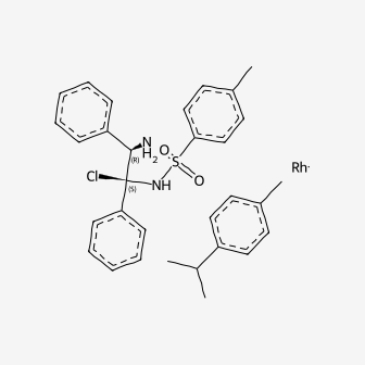 Cc1ccc(C(C)C)cc1.Cc1ccc(S(=O)(=O)N[C@](Cl)(c2ccccc2)[C@H](N)c2ccccc2)cc1.[Rh]